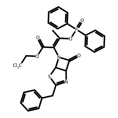 CC(OP(=O)(c1ccccc1)c1ccccc1)=C(C(=O)OCC(Cl)(Cl)Cl)N1C(=O)C2N=C(Cc3ccccc3)SC21